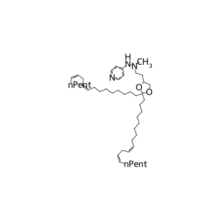 CCCCC/C=C\C/C=C\CCCCCCCCC1(CCCCCCCC/C=C\C/C=C\CCCCC)OCC(CCN(C)Nc2ccncc2)O1